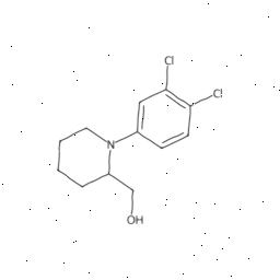 OCC1CCCCN1c1ccc(Cl)c(Cl)c1